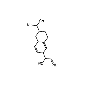 N#CC(C#N)C1CCC2=CC(C(C#N)C=N)C=CC2C1